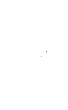 COc1ccc2c(C)nn(CC(=O)O)c2c1